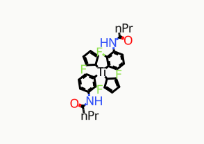 CCCC(=O)Nc1ccc(F)[c]([Ti]([c]2c(F)ccc(NC(=O)CCC)c2F)([CH]2C=CC=C2)[CH]2C=CC=C2)c1F